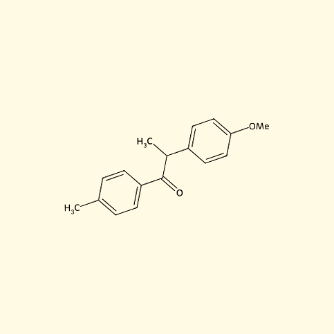 COc1ccc(C(C)C(=O)c2ccc(C)cc2)cc1